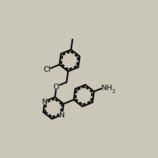 Cc1ccc(COc2nccnc2-c2ccc(N)cc2)c(Cl)c1